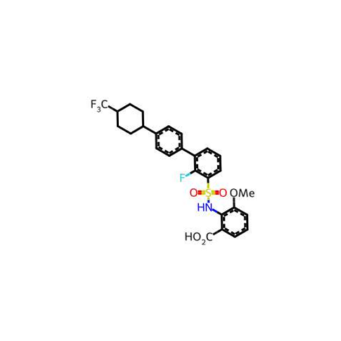 COc1cccc(C(=O)O)c1NS(=O)(=O)c1cccc(-c2ccc(C3CCC(C(F)(F)F)CC3)cc2)c1F